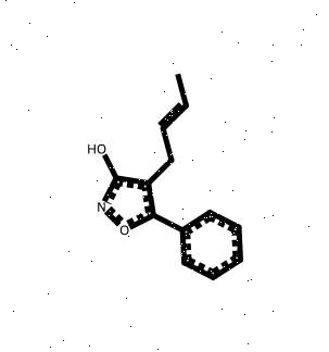 CC=CCc1c(O)noc1-c1ccccc1